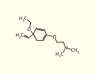 C=CC1(OCC)C=CC(OCCN(C)C)=CC1